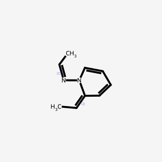 C/C=N\N1C=CC=C/C1=C/C